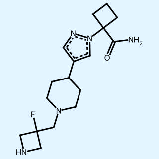 NC(=O)C1(n2cc(C3CCN(CC4(F)CNC4)CC3)cn2)CCC1